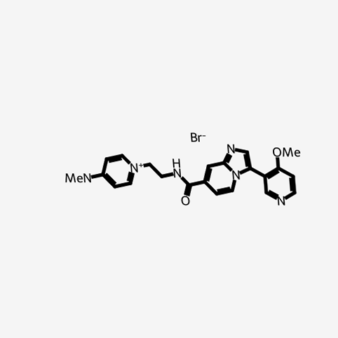 CNc1cc[n+](CCNC(=O)c2ccn3c(-c4cnccc4OC)cnc3c2)cc1.[Br-]